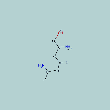 CC(N)CC(C)CC(N)CO